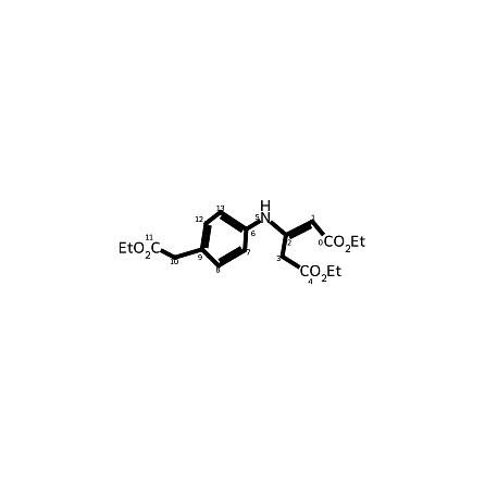 CCOC(=O)C=C(CC(=O)OCC)Nc1ccc(CC(=O)OCC)cc1